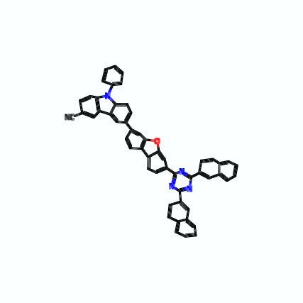 N#Cc1ccc2c(c1)c1cc(-c3ccc4c(c3)oc3cc(-c5nc(-c6ccc7ccccc7c6)nc(-c6ccc7ccccc7c6)n5)ccc34)ccc1n2-c1ccccc1